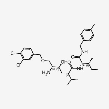 CC[C@H](C)[C@H](NC(=O)[C@@H](C[C@H](O)[C@@H](N)COCc1ccc(Cl)c(Cl)c1)C(C)C)C(=O)NCc1ccc(C)cc1